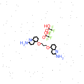 Nc1ccc2c(OCCCOc3cccc4nc(N)ccc34)cccc2n1.O=C(O)C(F)(F)F.O=C(O)C(F)(F)F